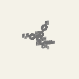 COC[C@H](C)N/C(=N/C(=O)c1ccc(C(F)(F)F)cc1)NC1CC(c2ccc(Cl)cc2)NN1